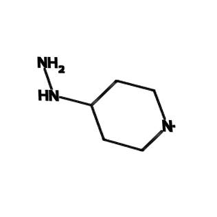 NNC1CC[N]CC1